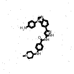 CN1CCC(Nc2ccc(C(=O)Nc3cc(-c4ccc5ncn(-c6ccc(N)cc6)c5c4)n[nH]3)cc2)CC1